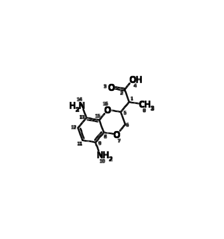 CC(C(=O)O)C1COc2c(N)ccc(N)c2O1